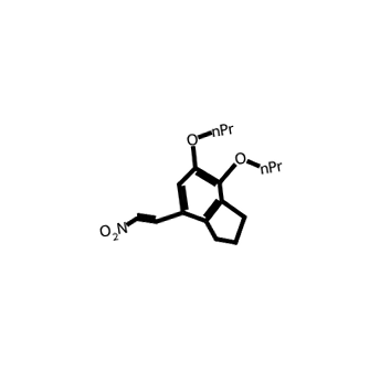 CCCOc1cc(C=C[N+](=O)[O-])c2c(c1OCCC)CCC2